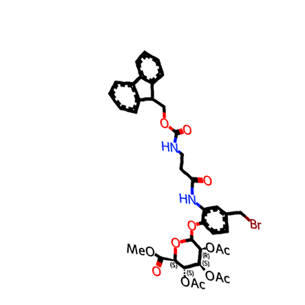 COC(=O)[C@H]1OC(Oc2ccc(CBr)cc2NC(=O)CCNC(=O)OCC2c3ccccc3-c3ccccc32)[C@H](OC(C)=O)[C@@H](OC(C)=O)[C@@H]1OC(C)=O